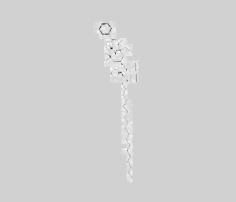 CCCCCCCCCCCCCCCCCCNC(=O)NC1CC(C)(C)N(OC(C)c2ccccc2)C(CC)(CC)C1